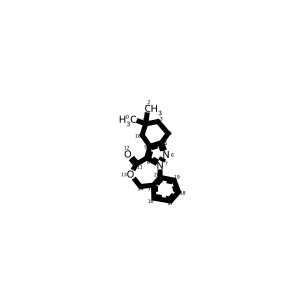 CC1(C)CCc2nn3c(c2C1)C(=O)OCc1ccccc1-3